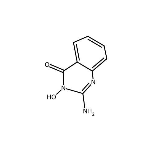 Nc1nc2ccccc2c(=O)n1O